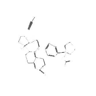 CC#C[C@H]1CC[C@H]2[C@@H]3CCC4=CC(=O)CCC4=C3[C@@H](c3ccc([N+]4(NC(C)=O)CCCCC4)cc3)C[C@]12C